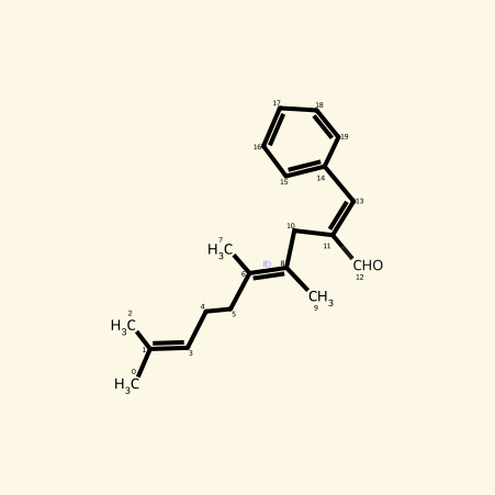 CC(C)=CCC/C(C)=C(\C)CC(C=O)=Cc1ccccc1